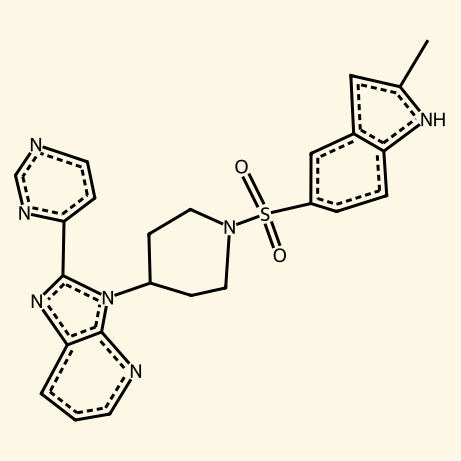 Cc1cc2cc(S(=O)(=O)N3CCC(n4c(-c5ccncn5)nc5cccnc54)CC3)ccc2[nH]1